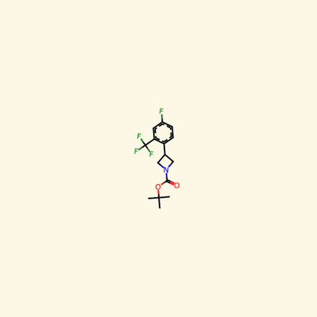 CC(C)(C)OC(=O)N1CC(c2ccc(F)cc2C(F)(F)F)C1